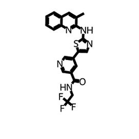 Cc1cc2ccccc2nc1Nc1ncc(-c2cncc(C(=O)NCC(F)(F)F)c2)s1